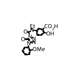 CCN(C(=O)n1nnn(-c2ccccc2OC)c1=O)c1ccc(O)c(C(=O)O)c1